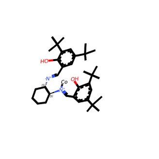 CC(C)(C)c1cc(C=[N+][C@H]2CCCC[C@@H]2[N+]([Co])=Cc2cc(C(C)(C)C)cc(C(C)(C)C)c2O)c(O)c(C(C)(C)C)c1